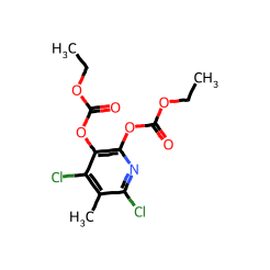 CCOC(=O)Oc1nc(Cl)c(C)c(Cl)c1OC(=O)OCC